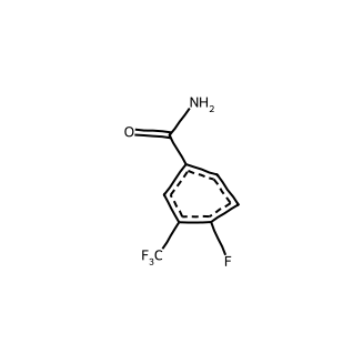 NC(=O)c1ccc(F)c(C(F)(F)F)c1